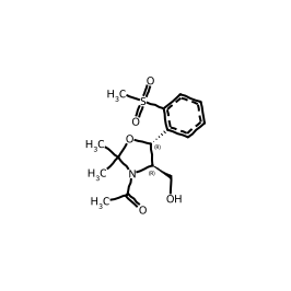 CC(=O)N1[C@H](CO)[C@@H](c2ccccc2S(C)(=O)=O)OC1(C)C